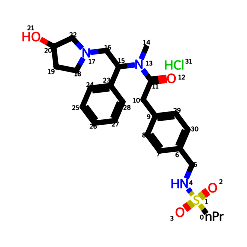 CCCS(=O)(=O)NCc1ccc(CC(=O)N(C)C(CN2CCC(O)C2)c2ccccc2)cc1.Cl